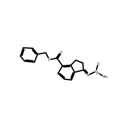 CC(C)(C)[S@+]([O-])/N=C1\CCc2c(C(=O)OCc3ccccc3)cccc21